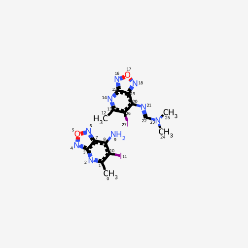 Cc1nc2nonc2c(N)c1I.Cc1nc2nonc2c(N=CN(C)C)c1I